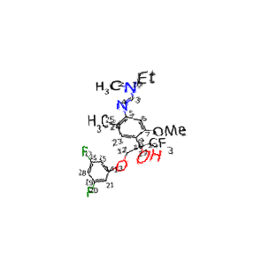 CCN(C)C=Nc1cc(OC)c(C(O)(COc2cc(F)cc(F)c2)C(F)(F)F)cc1C